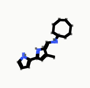 CC1=CC(c2ccc[nH]2)=N/C1=C/NC1CCCCCCC1